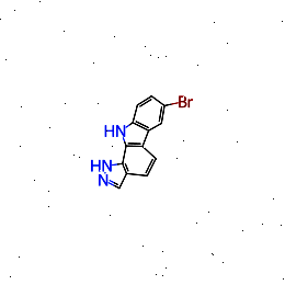 Brc1ccc2[nH]c3c(ccc4cn[nH]c43)c2c1